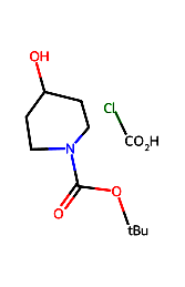 CC(C)(C)OC(=O)N1CCC(O)CC1.O=C(O)Cl